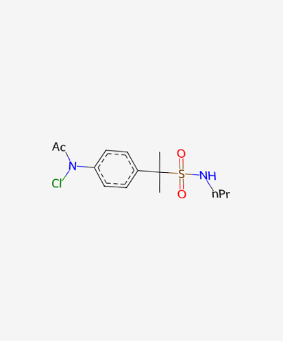 CCCNS(=O)(=O)C(C)(C)c1ccc(N(Cl)C(C)=O)cc1